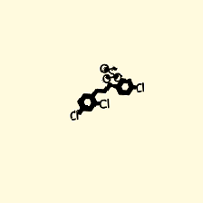 CS(=O)(=O)OC(CCc1ccc(Cl)cc1Cl)c1ccc(Cl)cc1